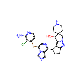 Nc1nccc(Sc2cnc(C3CCc4nn5c(c43)C(O)C3(CCNCC3)C5)c3cncn23)c1Cl